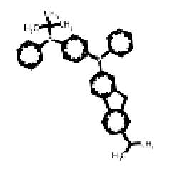 CC(C)c1ccc2c(c1)Cc1cc(N(c3ccccc3)c3ccc(N(c4ccccc4)C(C)(C)C)cc3)ccc1-2